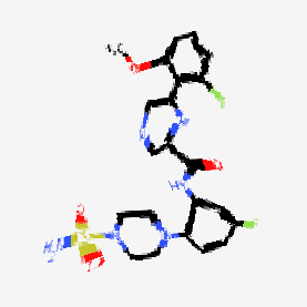 COc1cccc(F)c1-c1cncc(C(=O)Nc2cc(F)ccc2N2CCN(S(N)(=O)=O)CC2)n1